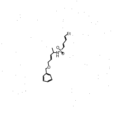 CCC=CC=CS(=O)(=O)NC(C)C=CCOCc1ccccc1